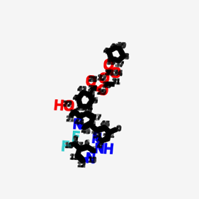 Cc1cc(Nc2cc(C(F)F)ccn2)nc(-c2ccc(C(C)(O)[C@H]3CC[C@H](C(=O)OC(C)OC(=O)OC4CCCCC4)CC3)nc2)c1